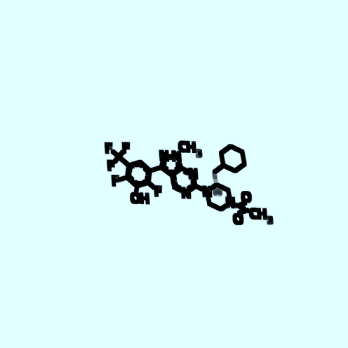 Cn1nc(-c2cc(C(F)(F)F)c(F)c(O)c2F)c2cnc(N3CCN(S(C)(=O)=O)C[C@H]3CC3CCCCC3)nc21